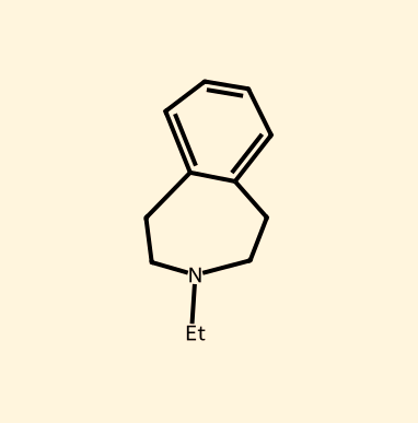 CCN1CCc2ccccc2CC1